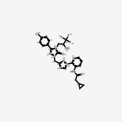 O=C(CC1CC1)Nc1cccnc1-n1cnc(Cn2nc(-c3ccc(Cl)cc3)n(CC(O)C(F)(F)F)c2=O)n1